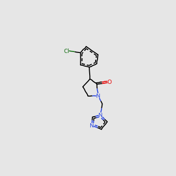 O=C1C(c2cccc(Cl)c2)CCN1Cn1ccnc1